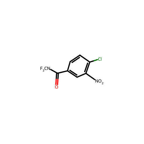 O=C(NC(F)(F)F)c1ccc(Cl)c([N+](=O)[O-])c1